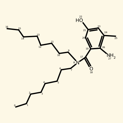 CCCCCCCCN(CCCCCCCC)C(=O)c1cc(O)cc(C)c1N